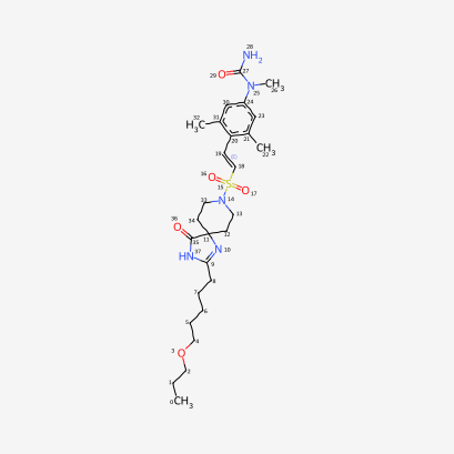 CCCOCCCCCC1=NC2(CCN(S(=O)(=O)/C=C/c3c(C)cc(N(C)C(N)=O)cc3C)CC2)C(=O)N1